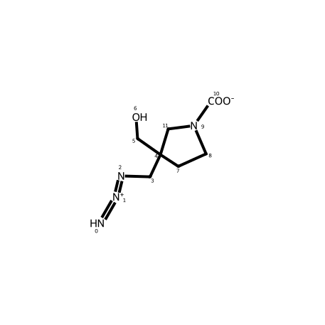 N=[N+]=NCC1(CO)CCN(C(=O)[O-])C1